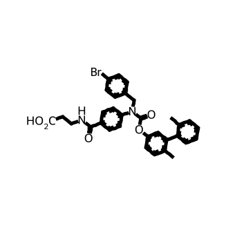 Cc1ccccc1-c1cc(OC(=O)N(Cc2ccc(Br)cc2)c2ccc(C(=O)NCCC(=O)O)cc2)ccc1C